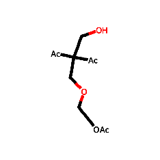 CC(=O)OCOCC(CO)(C(C)=O)C(C)=O